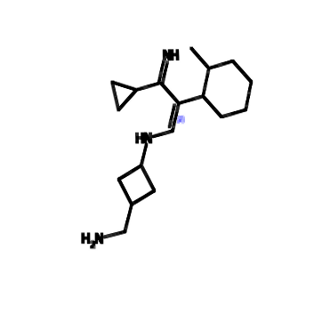 CC1CCCCC1/C(=C/NC1CC(CN)C1)C(=N)C1CC1